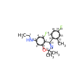 CCNc1cc(F)c2c(c1)OC(C)(C)N=C2c1ccc(F)cc1C